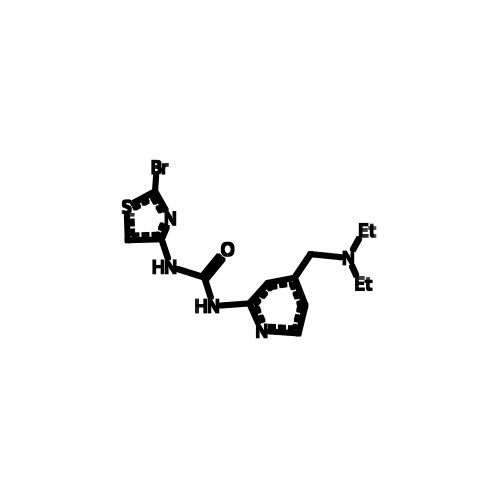 CCN(CC)Cc1ccnc(NC(=O)Nc2csc(Br)n2)c1